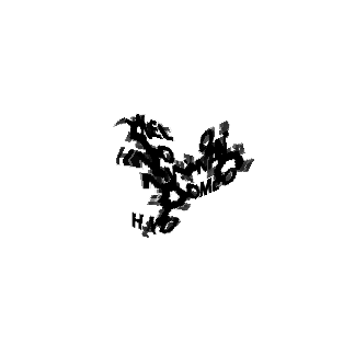 CCn1nc(C)cc1C(=O)Nc1nc2cc(C(N)=O)cc(OC)c2n1CCCNC(=O)N(C)C1CCOCC1